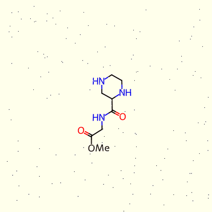 COC(=O)CNC(=O)C1CNCCN1